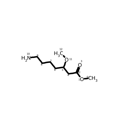 COC(=O)CC(CCCCN)OC